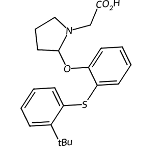 CC(C)(C)c1ccccc1Sc1ccccc1OC1CCCN1CC(=O)O